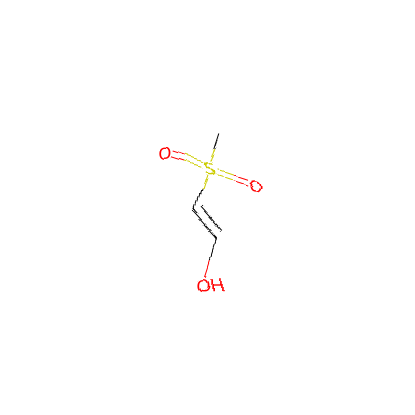 CS(=O)(=O)C=CO